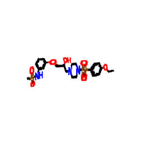 CCOc1ccc(S(=O)(=O)N2CCN(C[C@H](O)COc3cccc(NS(C)(=O)=O)c3)CC2)cc1